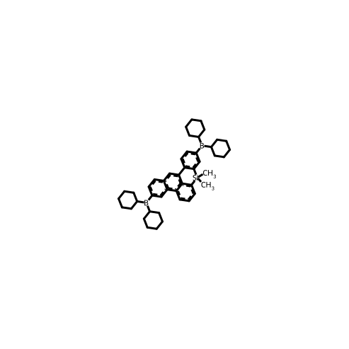 C[Si]1(C)c2cc(B(C3CCCCC3)C3CCCCC3)ccc2-c2cc3ccc(B(C4CCCCC4)C4CCCCC4)cc3c3cccc1c23